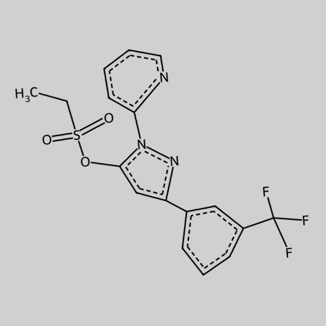 CCS(=O)(=O)Oc1cc(-c2cccc(C(F)(F)F)c2)nn1-c1ccccn1